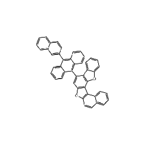 c1ccc2cc(-c3c4ccccc4c(-c4cc5oc6ccc7ccccc7c6c5c5oc6ccccc6c45)c4ccccc34)ccc2c1